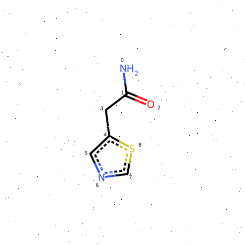 NC(=O)Cc1cn[c]s1